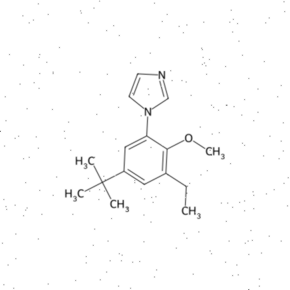 CCc1cc(C(C)(C)C)cc(-n2ccnc2)c1OC